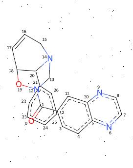 O=C(c1ccc2nccnc2c1)N1CN2CC=CC(O1)C2c1ccccc1